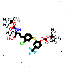 CC(C)(C)OC(=O)N[C@](C)(CO)CCc1ccc(Sc2cc(C(F)(F)F)ccc2OC(=O)OC(C)(C)C)cc1Cl